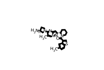 Cc1ccc2scc(C(=O)N3CCCC[C@H]3c3cc4nc(N5CC[C@H](N)C5)c(C)cn4n3)c2c1